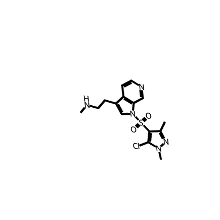 CNCCc1cn(S(=O)(=O)c2c(C)nn(C)c2Cl)c2cnccc12